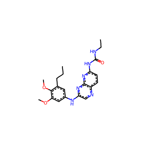 CCCc1cc(Nc2cnc3ccc(NC(=O)NCC)nc3n2)cc(OC)c1OC